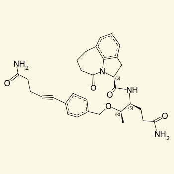 C[C@@H](OCc1ccc(C#CCCC(N)=O)cc1)[C@H](CCC(N)=O)NC(=O)[C@@H]1Cc2cccc3c2N1C(=O)CCC3